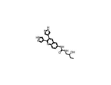 CCC(O)CNC(=O)Nc1ccc2nc(-c3cn[nH]c3)c(-c3cn[nH]c3)cc2c1